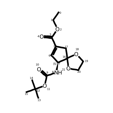 CCOC(=O)C1=C[C@H](NC(=O)OC(C)(C)C)C2(C1)OCCO2